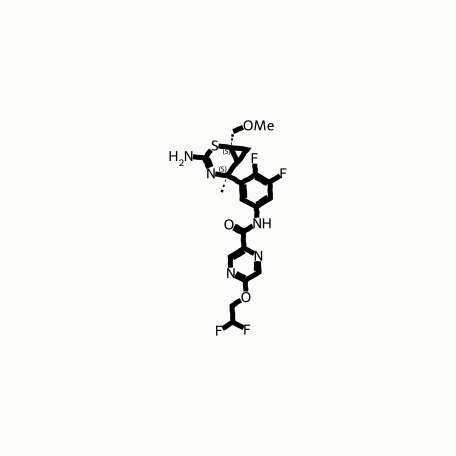 COC[C@]12CC1[C@@](C)(c1cc(NC(=O)c3cnc(OCC(F)F)cn3)cc(F)c1F)N=C(N)S2